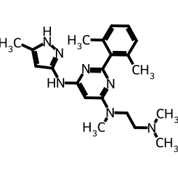 Cc1cc(Nc2cc(N(C)CCN(C)C)nc(-c3c(C)cccc3C)n2)n[nH]1